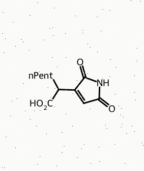 CCCCCC(C(=O)O)C1=CC(=O)NC1=O